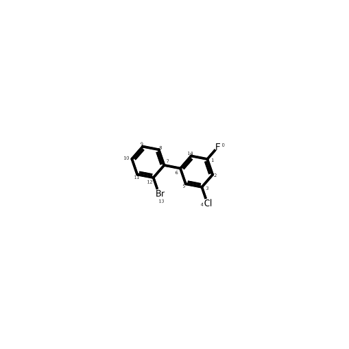 Fc1cc(Cl)cc(-c2ccccc2Br)c1